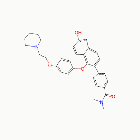 CN(C)C(=O)c1ccc(-c2ccc3cc(O)ccc3c2Oc2ccc(OCCN3CCCCC3)cc2)cc1